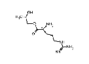 CC(O)COC(=O)[C@@H](N)CCCNC(=N)N